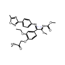 CCOc1cc(C(=N\c2ccc(-c3noc(C)n3)cc2)/C(=N/C(=O)OC)SC)ccc1OCC(=O)NC